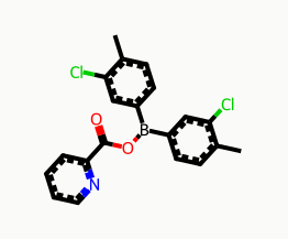 Cc1ccc(B(OC(=O)c2ccccn2)c2ccc(C)c(Cl)c2)cc1Cl